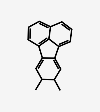 CC1C=C2C(=CC1C)c1cccc3cccc2c13